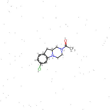 O=C(N1CCN2c3cc(Cl)ccc3CC2C1)C(F)(F)F